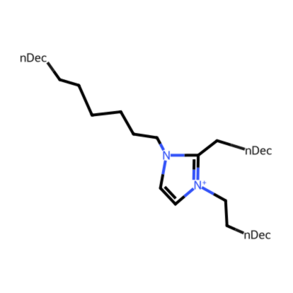 CCCCCCCCCCCCCCCCn1cc[n+](CCCCCCCCCCCC)c1CCCCCCCCCCC